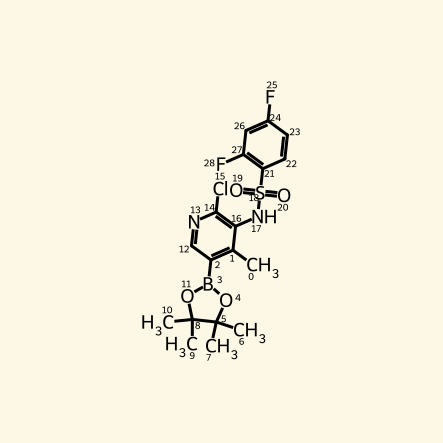 Cc1c(B2OC(C)(C)C(C)(C)O2)cnc(Cl)c1NS(=O)(=O)c1ccc(F)cc1F